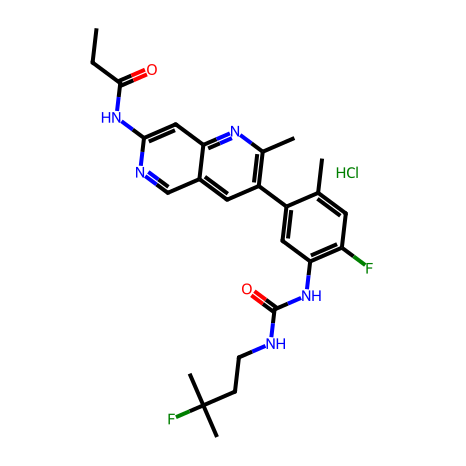 CCC(=O)Nc1cc2nc(C)c(-c3cc(NC(=O)NCCC(C)(C)F)c(F)cc3C)cc2cn1.Cl